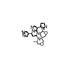 C[C@@H]1COCCN1c1cc(-c2cnn(C)c2)n2ncc(-c3ccnn3C3CCCCO3)c2n1